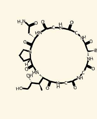 CC[C@H](C)[C@@H]1NC(=O)CNC(=O)CNC(=O)[C@H]([C@@H](C)[C@@H](O)CO)NC(=O)[C@@H]2CCCN2C(=O)[C@H](CC(N)=O)NC(=O)CNC(=O)CNC1=O